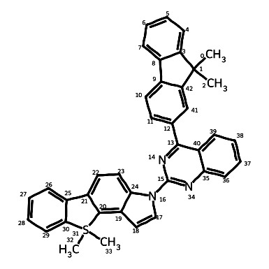 CC1(C)c2ccccc2-c2ccc(-c3nc(-n4ccc5c6c(ccc54)-c4ccccc4S6(C)C)nc4ccccc34)cc21